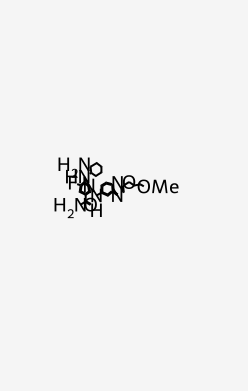 COCCOc1cnc2cc(Nc3nc(NC4CCCCC4N)c(F)cc3C(N)=O)ccc2n1